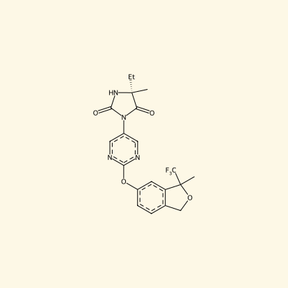 CC[C@@]1(C)NC(=O)N(c2cnc(Oc3ccc4c(c3)C(C)(C(F)(F)F)OC4)nc2)C1=O